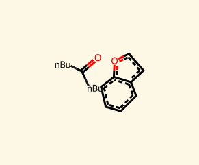 CCCCC(=O)CCCC.c1ccc2occc2c1